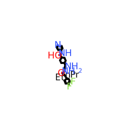 CCCC(CC)(C(=O)NCC(N)C1CCC(C(O)Nc2ccncc2)CC1)c1ccc(F)c(F)c1